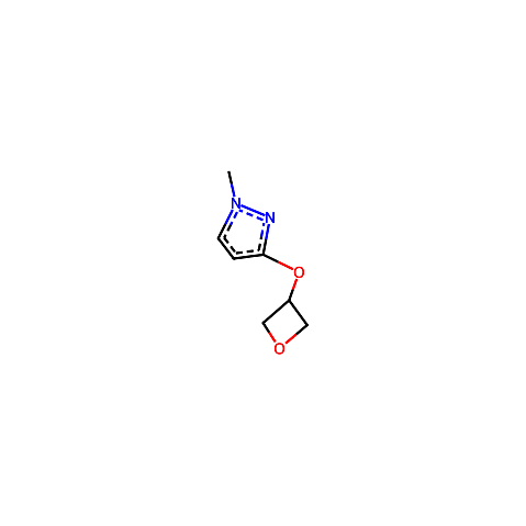 Cn1ccc(OC2COC2)n1